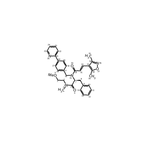 COCCN(C)C(=O)[C@H](Cc1ccccc1)N(Cc1ccc(-c2ccccn2)cc1)C(=O)/C=C/c1c(C)noc1C